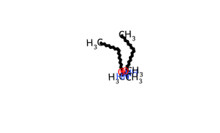 CCCCCCCC/C=C\CCCCCCCCOC(C)C(NC)(NC)OCCCCCCCC/C=C\CCCCCCCC